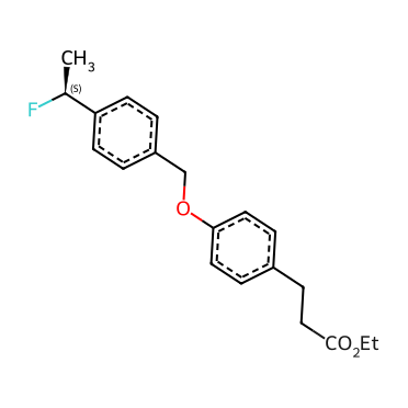 CCOC(=O)CCc1ccc(OCc2ccc([C@H](C)F)cc2)cc1